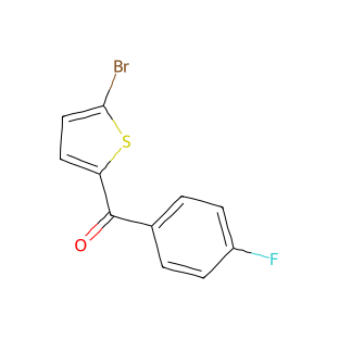 O=C(c1ccc(F)cc1)c1ccc(Br)s1